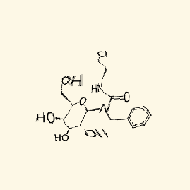 O=C(NCCCl)N(Cc1ccccc1)[C@@H]1O[C@H](CO)[C@H](O)[C@H](O)[C@H]1O